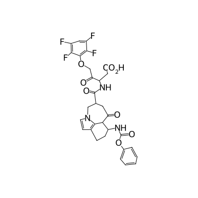 O=C(O)CC(NC(=O)C1CC(=O)C2c3c(ccn3C1)CCC2NC(=O)Oc1ccccc1)C(=O)COc1c(F)c(F)cc(F)c1F